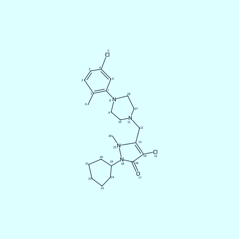 Cc1ccc(Cl)cc1N1CCN(Cc2c(Cl)c(=O)n(C3CCCCC3)n2C)CC1